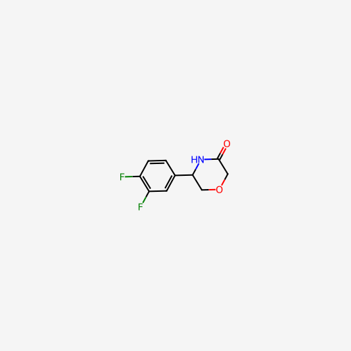 O=C1COCC(c2ccc(F)c(F)c2)N1